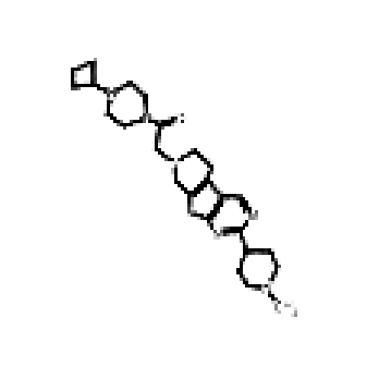 CN1CCC(c2ncc3c4c(sc3n2)CN(CC(=O)N2CCN(C3CCC3)CC2)CC4)CC1